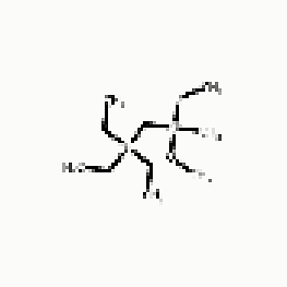 CC[Si](CC)(CC)C[Si](C)(OC)OC